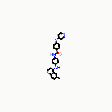 Cc1ccc2nccc(Nc3ccc(NC(=O)c4ccc(Nc5ccncc5)cc4)cc3)c2c1